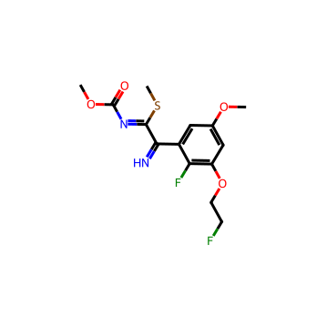 COC(=O)N=C(SC)C(=N)c1cc(OC)cc(OCCF)c1F